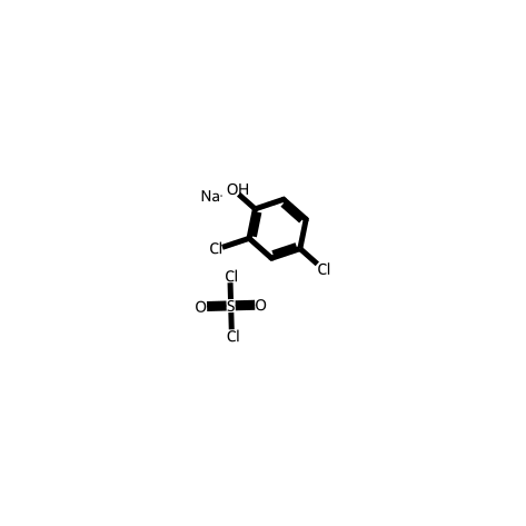 O=S(=O)(Cl)Cl.Oc1ccc(Cl)cc1Cl.[Na]